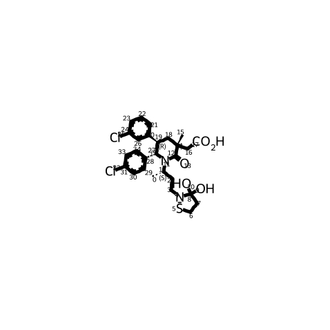 C[C@@H](CCN1SCCC1(O)O)N1C(=O)[C@@](C)(CC(=O)O)C[C@H](c2cccc(Cl)c2)[C@H]1c1ccc(Cl)cc1